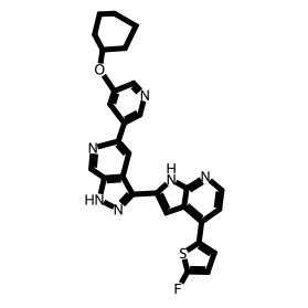 Fc1ccc(-c2ccnc3[nH]c(-c4n[nH]c5cnc(-c6cncc(OC7CCCCC7)c6)cc45)cc23)s1